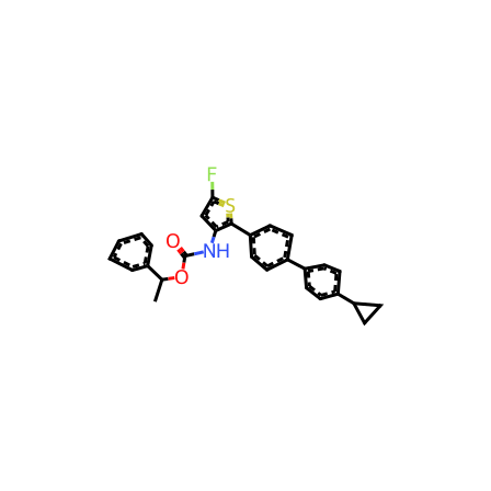 CC(OC(=O)Nc1cc(F)sc1-c1ccc(-c2ccc(C3CC3)cc2)cc1)c1ccccc1